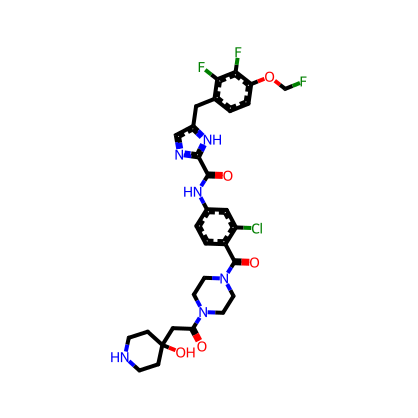 O=C(Nc1ccc(C(=O)N2CCN(C(=O)CC3(O)CCNCC3)CC2)c(Cl)c1)c1ncc(Cc2ccc(OCF)c(F)c2F)[nH]1